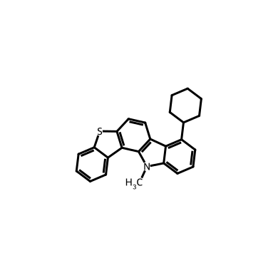 Cn1c2cccc(C3CCCCC3)c2c2ccc3sc4ccccc4c3c21